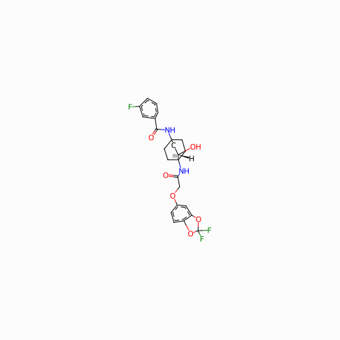 O=C(COc1ccc2c(c1)OC(F)(F)O2)NC12CCC(NC(=O)c3cccc(F)c3)(CC1)C[C@@H]2O